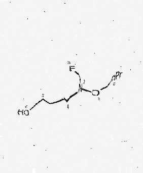 CCCON(F)CCO